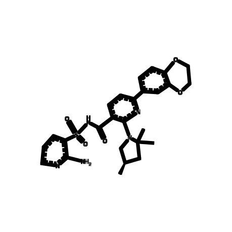 C[C@H]1CN(c2nc(-c3ccc4c(c3)OCCO4)ccc2C(=O)NS(=O)(=O)c2cccnc2N)C(C)(C)C1